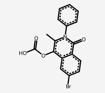 Cc1c(OC(=O)O)c2cc(Br)ccc2c(=O)n1-c1ccccc1